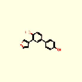 Oc1ccc(-c2ccc(O)c(-c3ccoc3)c2)cc1